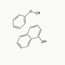 N#COc1ccccc1.Oc1cccc2ccccc12